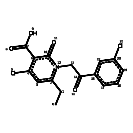 CCc1cc(Cl)c(C(=O)O)c(=O)n1CC(=O)c1cccc(Cl)c1